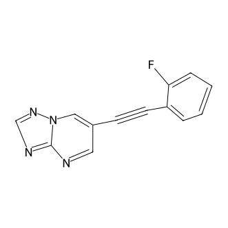 Fc1ccccc1C#Cc1cnc2ncnn2c1